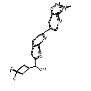 Cn1nnc2cc(-c3ccc4cc(C(O)C5CC(F)(F)C5)sc4n3)cnc21